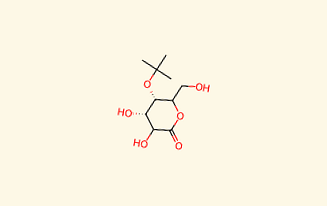 CC(C)(C)O[C@@H]1C(CO)OC(=O)C(O)[C@@H]1O